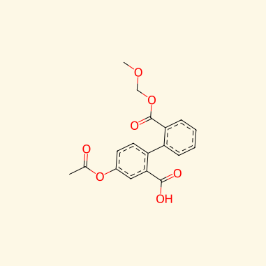 COCOC(=O)c1ccccc1-c1ccc(OC(C)=O)cc1C(=O)O